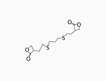 O=C1OCC1CCSCCCSCCC1COC1=O